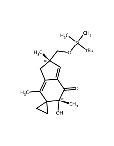 CC1=C2[CH][C@](C)(CO[Si](C)(C)C(C)(C)C)C=C2C(=O)[C@](C)(O)C12CC2